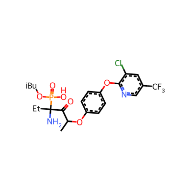 CCC(C)OP(=O)(O)C(N)(CC)C(=O)C(C)Oc1ccc(Oc2ncc(C(F)(F)F)cc2Cl)cc1